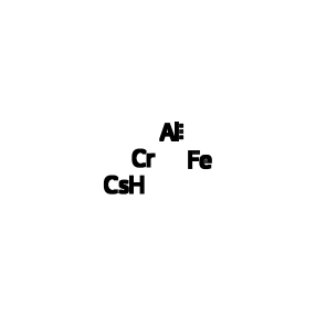 [Al].[Cr].[CsH].[Fe]